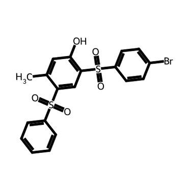 Cc1cc(O)c(S(=O)(=O)c2ccc(Br)cc2)cc1S(=O)(=O)c1ccccc1